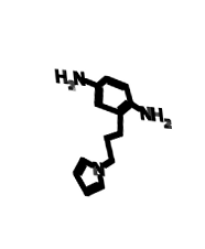 Nc1ccc(N)c(CCCn2cccc2)c1